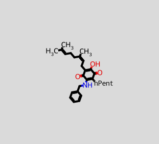 CCCCCC1=C(NCc2ccccc2)C(=O)C(CC=C(C)CCC=C(C)C)=C(O)C1=O